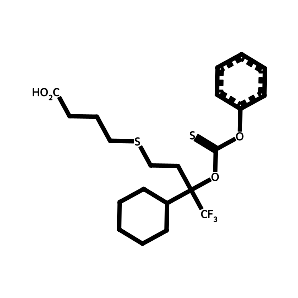 O=C(O)CCCSCCC(OC(=S)Oc1ccccc1)(C1CCCCC1)C(F)(F)F